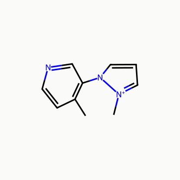 Cc1ccncc1-n1ccc[n+]1C